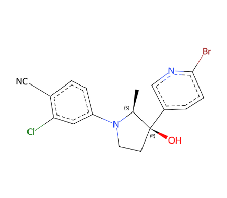 C[C@@H]1N(c2ccc(C#N)c(Cl)c2)CC[C@@]1(O)c1ccc(Br)nc1